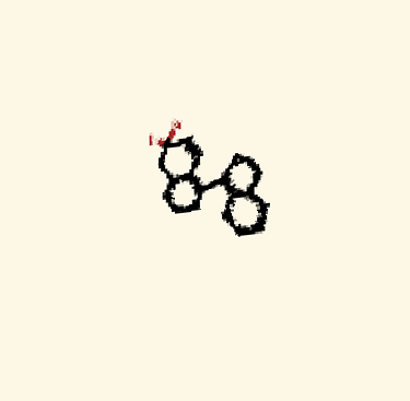 BrC1(Br)C=Cc2c(cccc2-c2cccc3ccccc23)C1